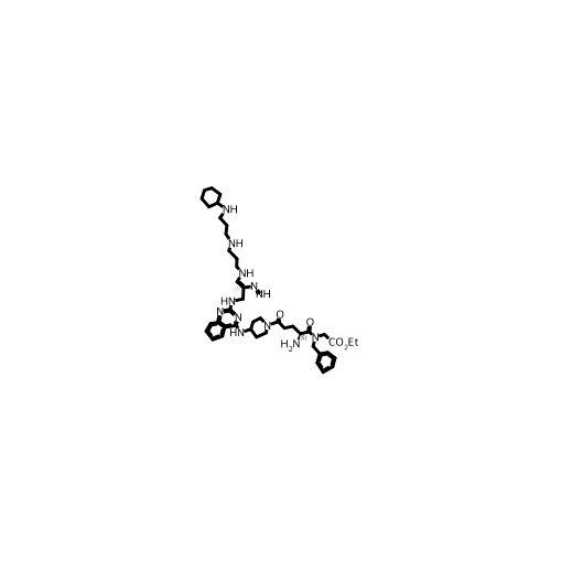 CCOC(=O)CN(Cc1ccccc1)C(=O)[C@@H](N)CCC(=O)N1CCC(Nc2nc(NC/C(=C/NCCCNCCCNC3CCCCC3)N=N)nc3ccccc23)CC1